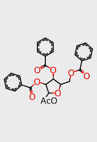 CC(=O)OC1OC(COC(=O)c2ccccc2)[C@H](OC(=O)c2ccccc2)C1OC(=O)c1ccccc1